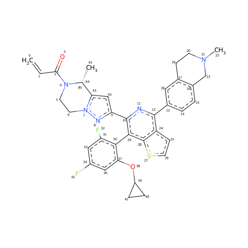 C=CC(=O)N1CCn2nc(-c3nc(-c4ccc5c(c4)CCN(C)C5)c4ccsc4c3-c3c(F)cc(F)cc3OC3CC3)cc2[C@H]1C